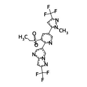 CCS(=O)(=O)c1cc(-c2cc(C(F)(F)F)nn2C)cnc1-c1cnc2cc(C(F)(F)F)nn2c1